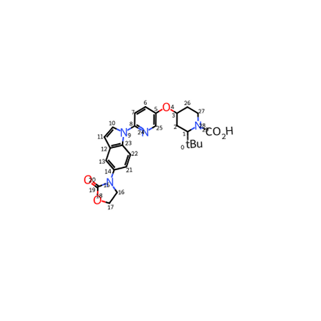 CC(C)(C)C1CC(Oc2ccc(-n3ccc4cc(N5CCOC5=O)ccc43)nc2)CCN1C(=O)O